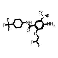 Nc1cc(OCC(F)F)c(C(=O)NC2CCC(C(F)(F)F)CC2)cc1[N+](=O)[O-]